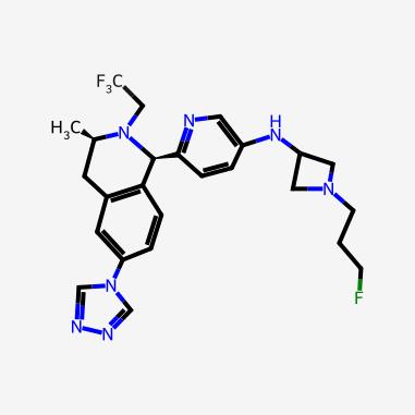 C[C@@H]1Cc2cc(-n3cnnc3)ccc2[C@H](c2ccc(NC3CN(CCCF)C3)cn2)N1CC(F)(F)F